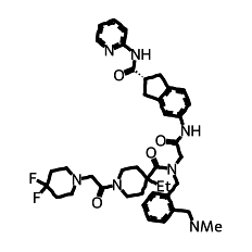 CCC1(C(=O)N(CC(=O)Nc2ccc3c(c2)C[C@H](C(=O)Nc2ccccn2)C3)Cc2ccccc2CNC)CCN(C(=O)CN2CCC(F)(F)CC2)CC1